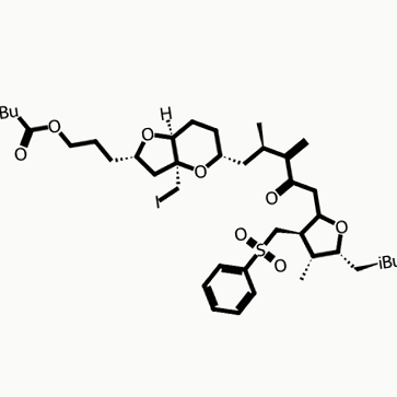 C=C(C(=O)CC1O[C@H](C[C@H](C)CC)[C@H](C)[C@H]1CS(=O)(=O)c1ccccc1)[C@H](C)C[C@H]1CC[C@@H]2O[C@@H](CCCOC(=O)C(C)(C)C)C[C@]2(CI)O1